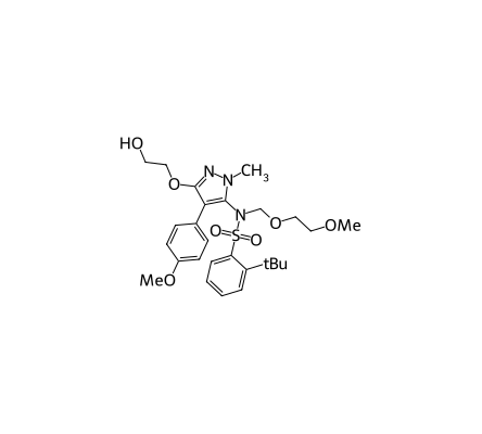 COCCOCN(c1c(-c2ccc(OC)cc2)c(OCCO)nn1C)S(=O)(=O)c1ccccc1C(C)(C)C